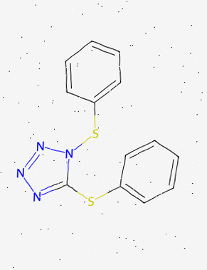 c1ccc(Sc2nnnn2Sc2ccccc2)cc1